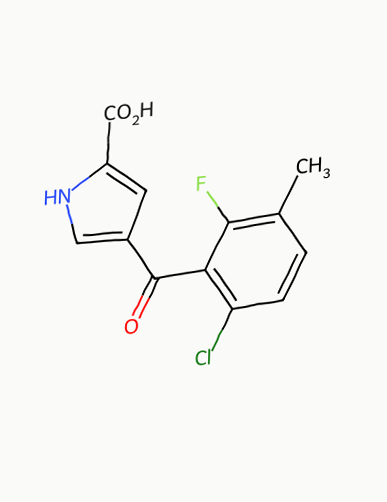 Cc1ccc(Cl)c(C(=O)c2c[nH]c(C(=O)O)c2)c1F